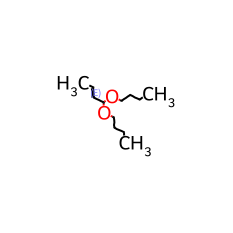 C/C=C/C(OCCCC)OCCCC